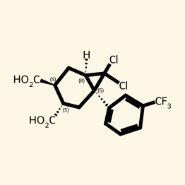 O=C(O)[C@H]1C[C@H]2C(Cl)(Cl)[C@@]2(c2cccc(C(F)(F)F)c2)C[C@@H]1C(=O)O